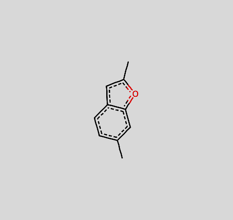 Cc1ccc2cc(C)oc2c1